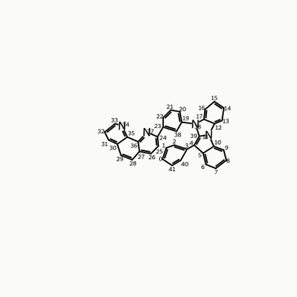 c1ccc(-c2c3ccccc3n3c4ccccc4n(-c4cccc(-c5ccc6ccc7cccnc7c6n5)c4)c23)cc1